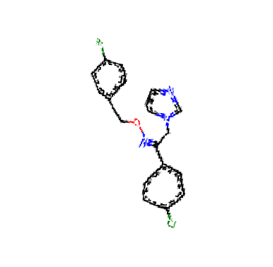 Clc1ccc(/C(Cn2ccnc2)=N/OCc2ccc(Br)cc2)cc1